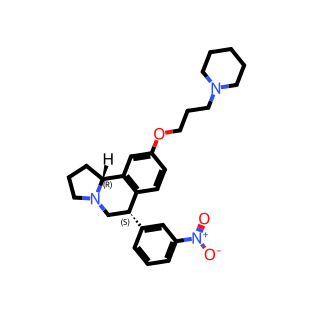 O=[N+]([O-])c1cccc([C@@H]2CN3CCC[C@@H]3c3cc(OCCCN4CCCCC4)ccc32)c1